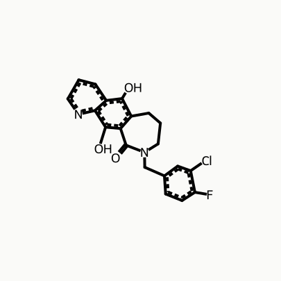 O=C1c2c(c(O)c3cccnc3c2O)CCCN1Cc1ccc(F)c(Cl)c1